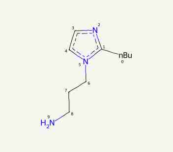 CCCCc1nccn1CCCN